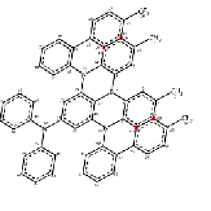 Cc1ccc2c(c1)B1c3cc(C)ccc3N(c3ccccc3-c3ccc(C(F)(F)F)cc3)c3cc(N(c4ccccc4)c4ccccc4)cc(c31)N2c1ccccc1-c1ccc(C(F)(F)F)cc1